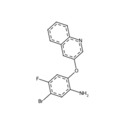 Nc1cc(Br)c(F)cc1Oc1cnc2ccccc2c1